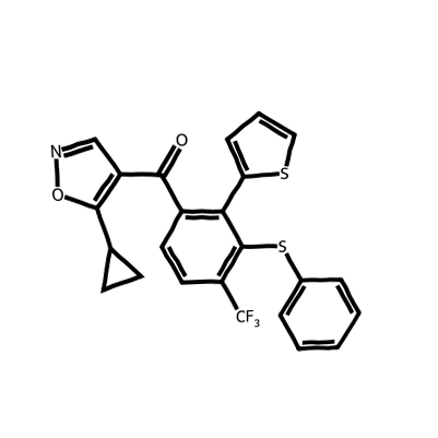 O=C(c1cnoc1C1CC1)c1ccc(C(F)(F)F)c(Sc2ccccc2)c1-c1cccs1